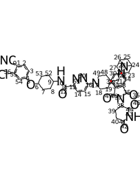 N#Cc1ccc(OC2CCC(NC(=O)c3ccc(N4CCC(CN5CC6CC(C5)N6c5ccc6c(c5)C(=O)N(C5CCC(=O)NC5=O)C6=O)CC4)nn3)CC2)cc1Cl